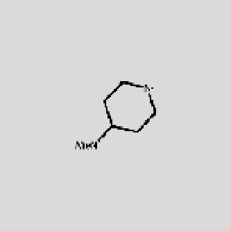 CNC1CC[N]CC1